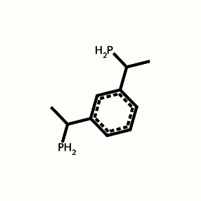 CC(P)c1cccc(C(C)P)c1